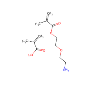 C=C(C)C(=O)O.C=C(C)C(=O)OCCOCCN